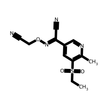 CCS(=O)(=O)c1cc(/C(C#N)=N/OCC#N)cnc1C